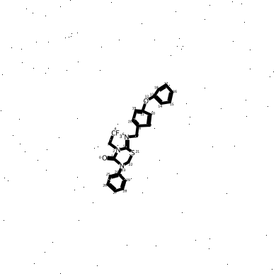 O=C1N(CC(F)(F)F)/C(=N/Cc2ccc(Oc3ccccc3)cc2)SCN1c1ccccc1